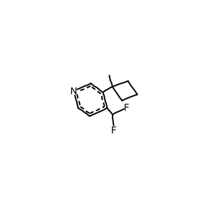 CC1(c2cnccc2C(F)F)CCC1